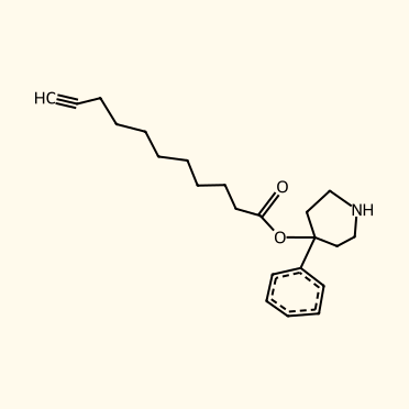 C#CCCCCCCCCC(=O)OC1(c2ccccc2)CCNCC1